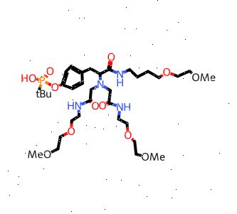 COCCOCCCCNC(=O)C(Cc1ccc(OP(=O)(O)C(C)(C)C)cc1)N(CC(=O)NCCOCCOC)CC(=O)NCCOCCOC